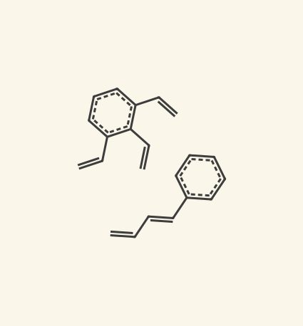 C=CC=Cc1ccccc1.C=Cc1cccc(C=C)c1C=C